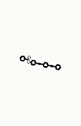 O=C(Oc1ccc(C#Cc2ccc(C#Cc3ccccc3)cc2)cc1)C1=CC=CCC1